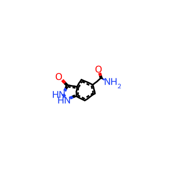 NC(=O)c1ccc2[nH][nH]c(=O)c2c1